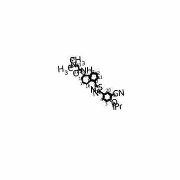 CC(C)Oc1ccc(-c2nnc(-c3cccc4c3CCC[C@@H]4NC(=O)CN(C)C)s2)cc1C#N